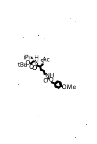 COc1ccc(COC(=O)NCCCC(CSC(C)=O)C(=O)N[C@@H](CC(C)C)C(=O)OC(C)(C)C)cc1